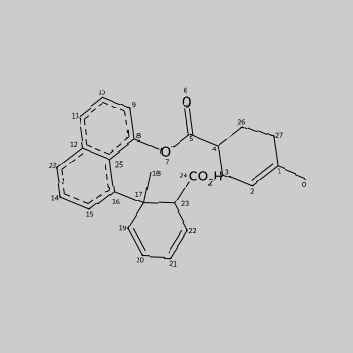 CC1=CCC(C(=O)Oc2cccc3cccc(C4(C)C=CC=CC4C(=O)O)c23)CC1